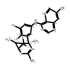 CC1C2[C@@]1(C(F)F)SC(N)=N[C@]2(C)c1cc(Nc2ncnc3cc(C#N)cnc23)cc(F)c1F